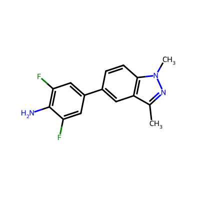 Cc1nn(C)c2ccc(-c3cc(F)c(N)c(F)c3)cc12